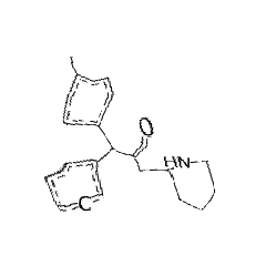 Cc1ccc(C(C(=O)CC2CCCCN2)c2ccccc2)cc1